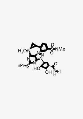 CCCSc1nc(N(C)C2CC2c2ccc(S(=O)(=O)NC)cc2)c2nnn([C@H]3C[C@@H](C(=O)NCC)[C@H](O)[C@@H]3O)c2n1